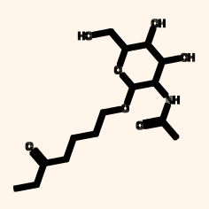 CCC(=O)CCCCOC1OC(CO)C(O)C(O)C1NC(C)=O